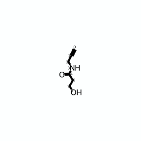 C#CCNC(=O)CCO